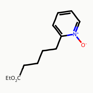 CCOC(=O)CCCCc1cccc[n+]1[O-]